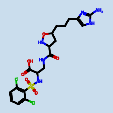 Nc1nc(CCCC2CC(C(=O)NCC(NS(=O)(=O)c3c(Cl)cccc3Cl)C(=O)O)NO2)c[nH]1